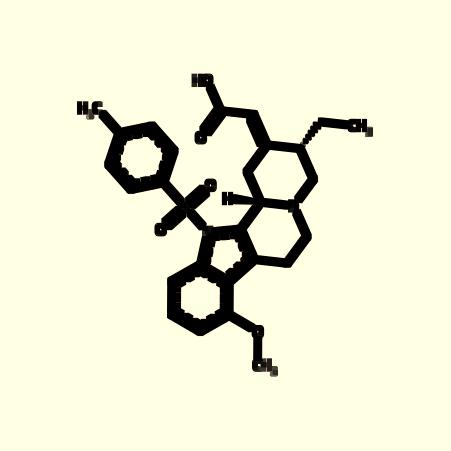 CC[C@@H]1CN2CCc3c(n(S(=O)(=O)c4ccc(C)cc4)c4cccc(OC)c34)[C@@H]2C/C1=C\C(=O)O